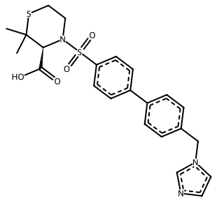 CC1(C)SCCN(S(=O)(=O)c2ccc(-c3ccc(Cn4ccnc4)cc3)cc2)[C@H]1C(=O)O